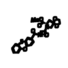 COC(=O)[C@@H]1CC2(CN1C(=O)CNC(=O)c1ccc3c(c1)Sc1ccccc1O3)OCCO2